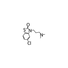 CN(C)CCCn1c(=O)sc2ccc(Cl)cc21